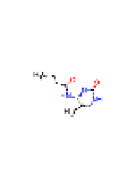 CCCC(=O)Nc1nc(=O)[nH]cc1C